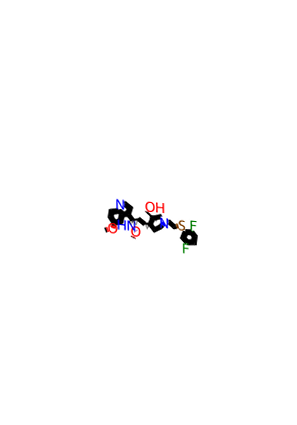 CON[C@H](CC[C@@H]1CCN(CCSc2cc(F)ccc2F)C[C@@H]1CO)c1ccnc2ccc(OC)cc12